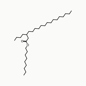 CCCCCCCCCCCCCCCC(CCCC)CC(=O)OCCCCCCCCC